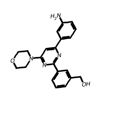 Nc1cccc(-c2cc(N3CCOCC3)nc(-c3cccc(CO)c3)n2)c1